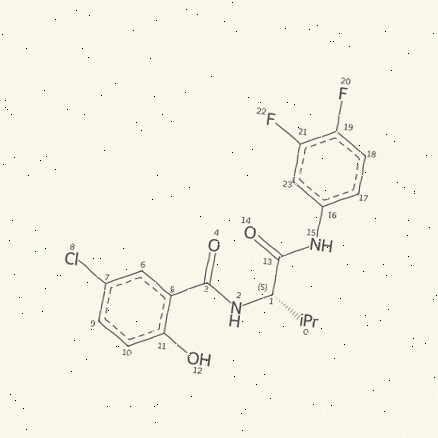 CC(C)[C@H](NC(=O)c1cc(Cl)ccc1O)C(=O)Nc1ccc(F)c(F)c1